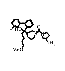 COCCCCC(O)(c1ccccc1-c1cccc(F)c1)C1CCCN(C(=O)N2CCC(N)C2)C1